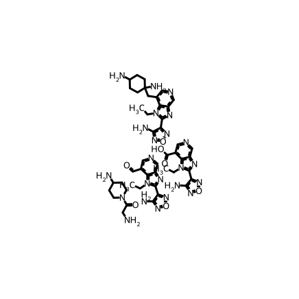 CCn1c(-c2nonc2N)nc2cncc(C(=O)O)c21.CCn1c(-c2nonc2N)nc2cncc(C=O)c21.CCn1c(-c2nonc2N)nc2cncc(CC3(N)CCC(N)CC3)c21.NCC(=O)N1CCC(N)CC1